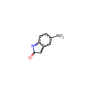 O=C1C=c2cc([N+](=O)[O-])ccc2=N1